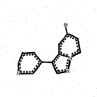 Brc1ccn2ncc(-c3cccnc3)c2c1